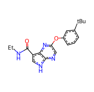 CCNC(=O)c1c[nH]c2ncc(Oc3cccc(C(C)(C)C)c3)nc12